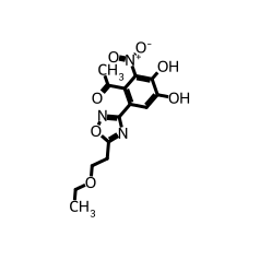 CCOCCc1nc(-c2cc(O)c(O)c([N+](=O)[O-])c2C(C)=O)no1